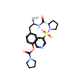 O=C(O)[C@H](Cc1ccc(OC(=O)N2CCCC2)cc1)NC(=O)[C@@H]1CCCN1S(=O)(=O)c1cccnc1